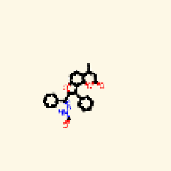 Cc1cc(=O)oc2c1ccc1oc(/C(=N/NC=O)c3ccccc3)c(-c3ccccc3)c12